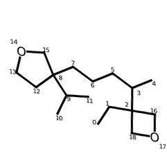 CCC1(C(C)CCCC2(C(C)C)CCOC2)COC1